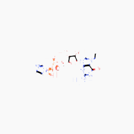 CC[n+]1cn([C@@H]2O[C@H](COP(=O)(O)OP(=O)(O)n3ccnc3)[C@@H](O)[C@H]2O)c2nc(N)[nH]c(=O)c21